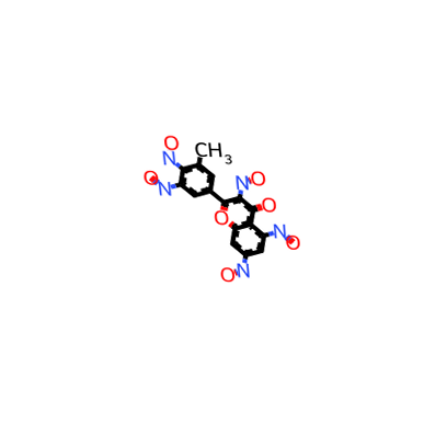 Cc1cc(-c2oc3cc(N=O)cc(N=O)c3c(=O)c2N=O)cc(N=O)c1N=O